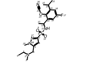 CCN(C)Cc1cc(S(=O)(=O)NC(C)c2cc(F)cc(C(C)C)c2OC#N)nn1C